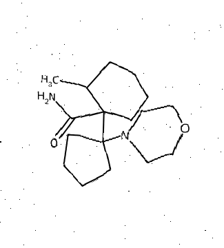 CC1CCCCC1(C(N)=O)C1(N2CCOCC2)CCCC1